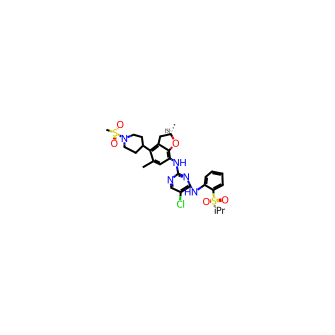 Cc1cc(Nc2ncc(Cl)c(Nc3ccccc3S(=O)(=O)C(C)C)n2)c2c(c1C1CCN(S(C)(=O)=O)CC1)C[C@H](C)O2